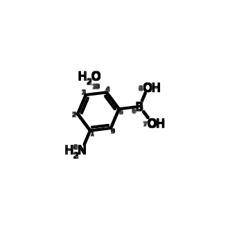 Nc1cccc(B(O)O)c1.O